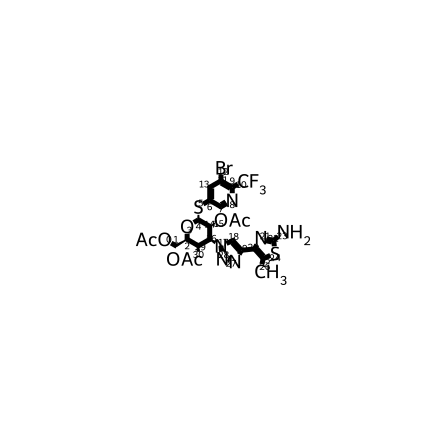 CC(=O)OC[C@H]1O[C@H](Sc2cnc(C(F)(F)F)c(Br)c2)[C@H](OC(C)=O)[C@@H](n2cc(-c3nc(N)sc3C)nn2)[C@H]1OC(C)=O